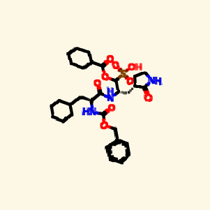 O=C(N[C@@H](CC1CCCCC1)C(=O)N[C@@H](C[C@@H]1CCNC1=O)C(OC(=O)C1CCCCC1)S(=O)(=O)O)OCc1ccccc1